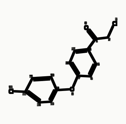 O=C(CCl)c1ccc(Oc2ccc(Cl)cc2)cc1